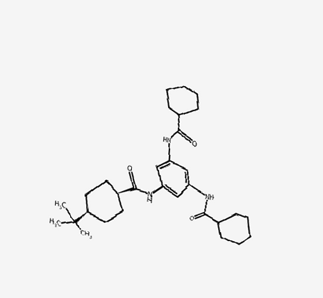 CC(C)(C)[C@H]1CC[C@@H](C(=O)Nc2cc(NC(=O)C3CCCCC3)cc(NC(=O)C3CCCCC3)c2)CC1